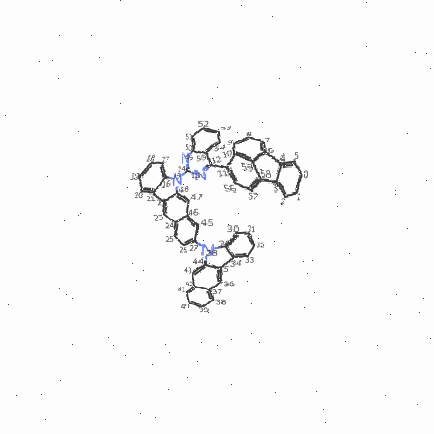 c1ccc2c(c1)-c1cccc3c(-c4nc(-n5c6ccccc6c6cc7ccc(-n8c9ccccc9c9cc%10ccccc%10cc98)cc7cc65)nc5ccccc45)ccc-2c13